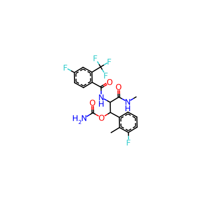 CNC(=O)C(NC(=O)c1ccc(F)cc1C(F)(F)F)C(OC(N)=O)c1cccc(F)c1C